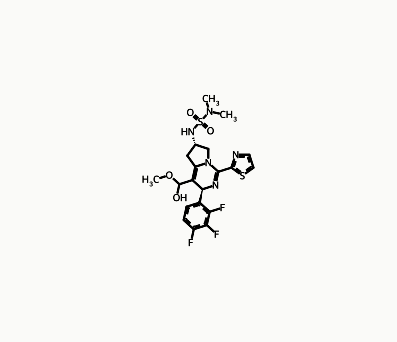 COC(O)C1=C2C[C@H](NS(=O)(=O)N(C)C)CN2C(c2nccs2)=N[C@H]1c1ccc(F)c(F)c1F